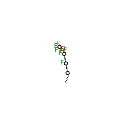 CCCCCc1ccc(C#Cc2ccc(C#Cc3ccc(C(F)(F)Oc4cc(F)c(F)c(F)c4)c(F)c3)c(F)c2)cc1